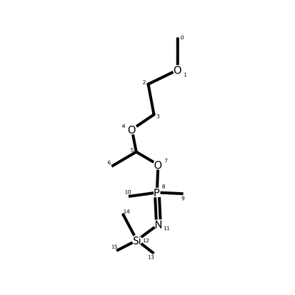 COCCOC(C)OP(C)(C)=N[Si](C)(C)C